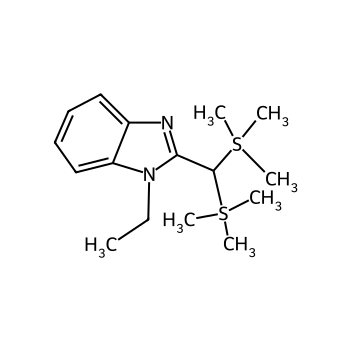 CCn1c(C(S(C)(C)C)S(C)(C)C)nc2ccccc21